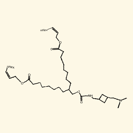 CCCCCC/C=C\COC(=O)CCCCCCCC(CCCCCCCC(=O)OC/C=C\CCCCCC)COC(=O)NCC1CC(CN(C)C)C1